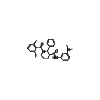 Cc1cccc(F)c1C(=O)N1CCCC(C(=O)Nc2cccc(N(C)C)c2)C1c1ccccc1